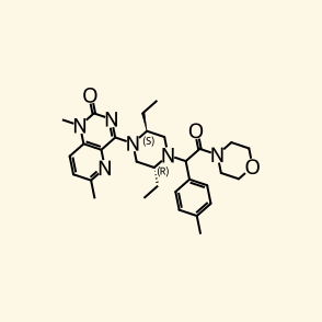 CC[C@H]1CN(C(C(=O)N2CCOCC2)c2ccc(C)cc2)[C@H](CC)CN1c1nc(=O)n(C)c2ccc(C)nc12